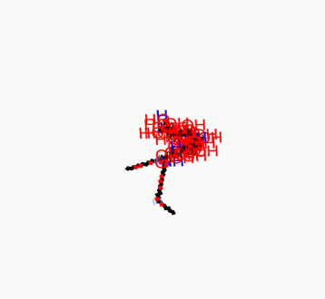 CCCCCCCC/C=C\CCCCCCCCCCCCCCCC(=O)N[C@@H](CO[C@@H]1OC(CO)[C@@H](O[C@@H]2OC(CO)[C@H](O[C@@H]3OC(CO)[C@H](O)[C@H](O[C@@H]4OC(CO)[C@H](O)[C@H](O[C@@H]5OC(CO)[C@@H](O[C@@H]6OC(CO)[C@H](O)[C@H](O[C@]7(C(=O)O)CC(O)[C@@H](NC(=O)CO)C([C@H](O)[C@H](O)CO)O7)C6O)[C@H](O)C5NC(C)=O)C4O)C3NC(C)=O)[C@H](O)C2O)[C@H](O)C1O)[C@H](O)/C=C/CCCCCCCCCCCCC